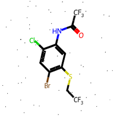 O=C(Nc1cc(SCC(F)(F)F)c(Br)cc1Cl)C(F)(F)F